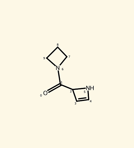 O=C(C1C=CN1)N1CCC1